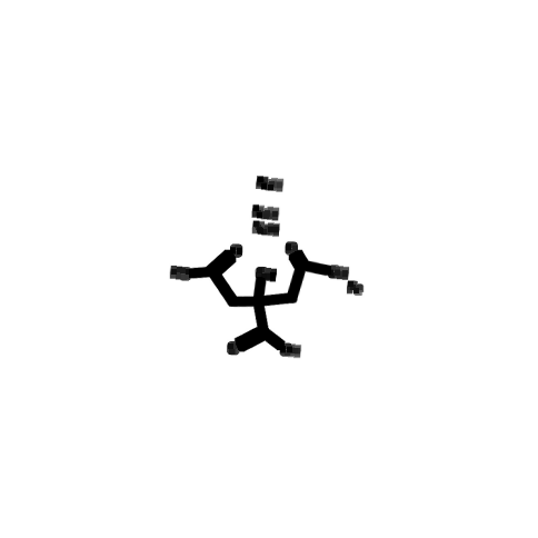 O=C(O)CC(O)(CC(=O)O)C(=O)O.[Fe].[NaH].[NaH].[NaH]